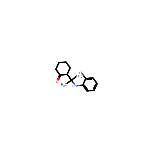 CC(C)(Nc1ccccc1Cl)C1CCCCC1=O